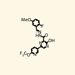 COc1ccc(F)c(/C=N/NC(=O)c2nc(-c3ccc(OC(F)(F)F)nc3)cnc2O)c1